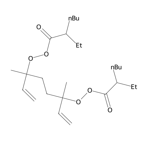 C=CC(C)(CCC(C)(C=C)OOC(=O)C(CC)CCCC)OOC(=O)C(CC)CCCC